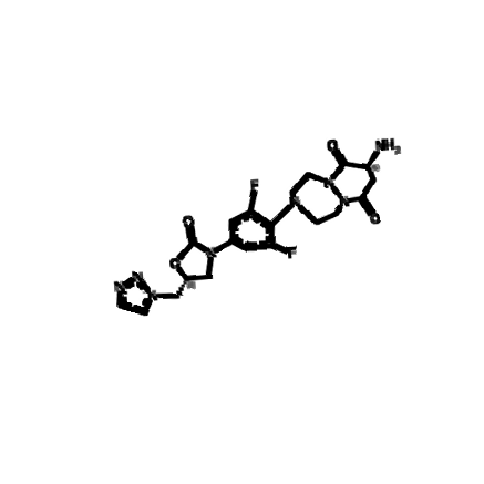 N[C@H]1CC(=O)N2CCN(c3c(F)cc(N4C[C@H](Cn5ccnn5)OC4=O)cc3F)CCN2C1=O